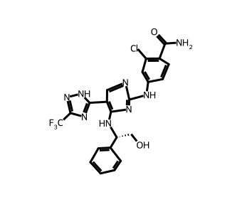 NC(=O)c1ccc(Nc2ncc(-c3nc(C(F)(F)F)n[nH]3)c(N[C@H](CO)c3ccccc3)n2)cc1Cl